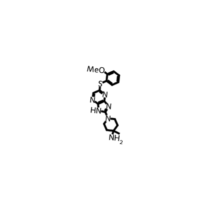 COc1ccccc1Sc1cnc2[nH]c(N3CCC(C)(N)CC3)nc2n1